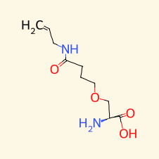 C=CCNC(=O)CCCOC[C@H](N)C(=O)O